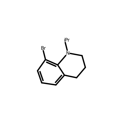 CC(C)N1CCCc2cccc(Br)c21